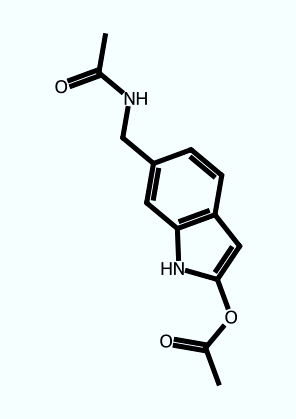 CC(=O)NCc1ccc2cc(OC(C)=O)[nH]c2c1